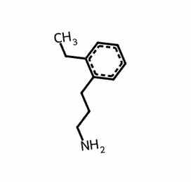 CCc1ccccc1CCCN